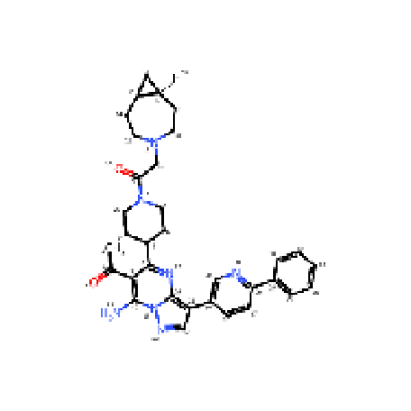 CC(=O)c1c(C2CCN(C(=O)CN3CCC4C[C@H]4CC3)CC2)nc2c(-c3ccc(-c4ccccc4)nc3)cnn2c1N